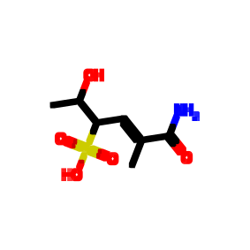 CC(=CC(C(C)O)S(=O)(=O)O)C(N)=O